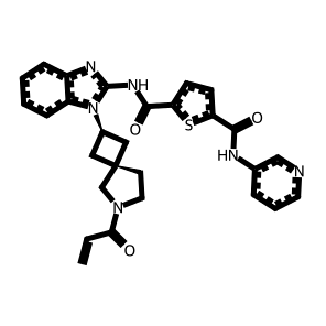 C=CC(=O)N1CC[C@]2(C1)C[C@H](n1c(NC(=O)c3ccc(C(=O)Nc4cccnc4)s3)nc3ccccc31)C2